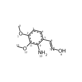 COc1ccc(C=NO)c(N)c1OC